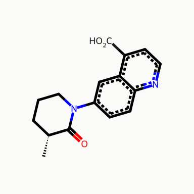 C[C@@H]1CCCN(c2ccc3nccc(C(=O)O)c3c2)C1=O